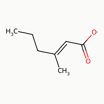 CCCC(C)=CC([O])=O